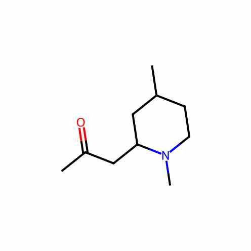 CC(=O)CC1CC(C)CCN1C